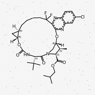 CC(C)COC(=O)[C@@H]1[C@H](C)[C@@H]2CN1C(=O)[C@H](C(C)(C)C)NC(=O)O[C@@H]1C[C@H]1CCCCC(F)(F)c1nc3ccc(Cl)cc3nc1O2